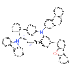 C=C/C=C\C=C(\c1ccccc1-c1ccc(N(c2cccc(-c3cccc4c3oc3ccccc34)c2)c2ccc3c(ccc4ccccc43)c2)cc1)n1c2ccccc2c2ccccc21